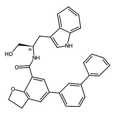 O=C(N[C@@H](CO)Cc1c[nH]c2ccccc12)c1cc(-c2cccc(-c3ccccc3)c2)cc2c1OCC2